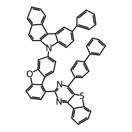 c1ccc(-c2ccc(-c3nc(-c4cccc5oc6cc(-n7c8ccc(-c9ccccc9)cc8c8c9ccccc9ccc87)ccc6c45)nc4c3sc3ccccc34)cc2)cc1